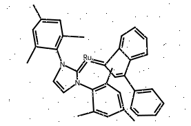 Cc1cc(C)c(-n2ccn(-c3c(C)cc(C)cc3C)[c]2=[Ru]=[C]2C=C(c3ccccc3)c3ccccc32)c(C)c1